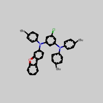 CC(C)(C)c1ccc(N(c2ccc(C(C)(C)C)cc2)c2cc(Cl)cc(N(c3ccc(C(C)(C)C)cc3)c3ccc4c(c3)oc3ccccc34)c2)cc1